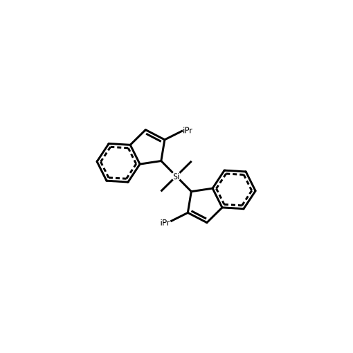 CC(C)C1=Cc2ccccc2C1[Si](C)(C)C1C(C(C)C)=Cc2ccccc21